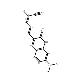 C/C(C#N)=C/C=C/c1cc2ccc(N(C)C)cc2[nH]c1=O